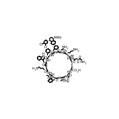 CC(O)[C@@H]1NC(=O)[C@H](Cc2ccccc2)NC(=O)[C@H](C(C)O)NC(=O)[C@H](CCCCN)NC(=O)[C@H](Cc2c[nH]c3ccccc23)NC(=O)[C@H](Cc2ccccc2)NC(=O)[C@H](Cc2ccccc2)NC(=O)[C@H](CC(N)=O)NC(=O)[C@H](CCCCN)NC(=O)[C@@H](NC(=O)CNC(=O)[C@H](C)N)CSSC[C@@H](C(=O)O)NC(=O)[C@H](CO)NC1=O.CN[C@H]1CC[C@@H](c2ccc(Cl)c(Cl)c2)c2ccccc21